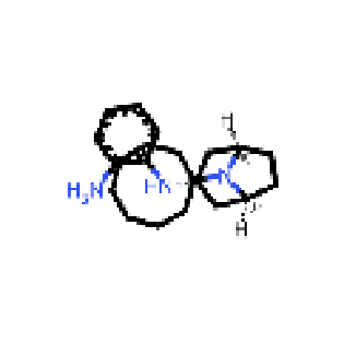 Nc1ccccc1N[C@@H]1C[C@H]2CC[C@@H](C1)N2C1CCCCCCC1